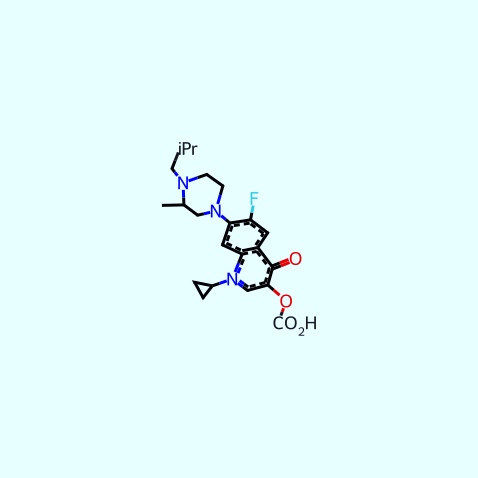 CC(C)CN1CCN(c2cc3c(cc2F)c(=O)c(OC(=O)O)cn3C2CC2)CC1C